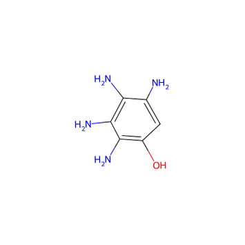 Nc1cc(O)c(N)c(N)c1N